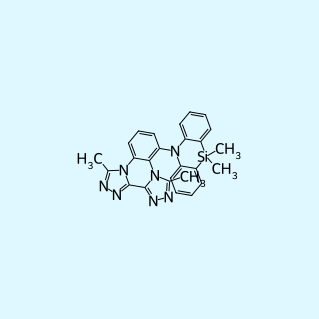 Cc1nnc2c3nnc(C)n3c3c(N4c5ccccc5[Si](C)(C)c5ccccc54)cccc3n12